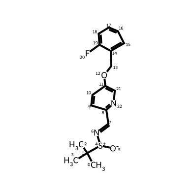 CC(C)(C)[S+]([O-])N=Cc1ccc(OCc2ccccc2F)cn1